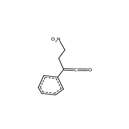 O=C=C(CC[N+](=O)[O-])c1ccccc1